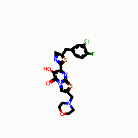 O=c1c(O)c(-c2ncc(Cc3ccc(F)c(Cl)c3)s2)nc2sc(CN3CCOCC3)cn12